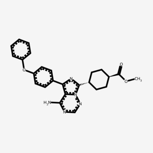 COC(=O)[C@H]1CC[C@H](c2nc(-c3ccc(Oc4ccccc4)cc3)c3c(N)ncnn32)CC1